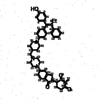 CCC(=C(c1ccc(O)cc1)c1ccc(N2CCC(CN3CCN(c4ccc5c(c4)CN(C4CCC(=O)N(C)C4=O)C5=O)CC3)CC2)cc1)c1ccccc1